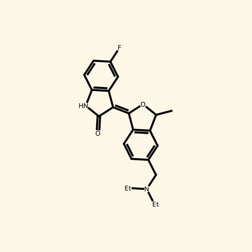 CCN(CC)Cc1ccc2c(c1)C(C)O/C2=C1/C(=O)Nc2ccc(F)cc21